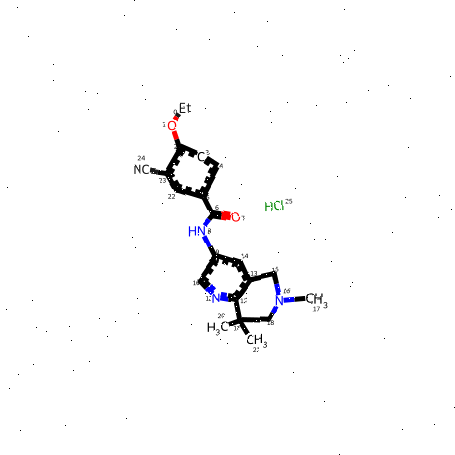 CCOc1ccc(C(=O)Nc2cnc3c(c2)CN(C)CC3(C)C)cc1C#N.Cl